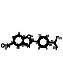 O=[N+]([O-])c1ccc2oc(-c3ccc(C(F)F)cc3)nc2c1